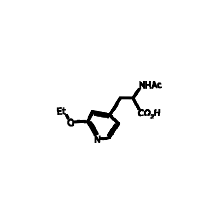 CCOc1cc(CC(NC(C)=O)C(=O)O)ccn1